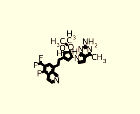 Cc1nc(N)nc2c1ccn2[C@@H]1C=C(CCc2cc(C(F)F)c(F)c3ccncc23)[C@H]2OC(C)(C)O[C@H]21